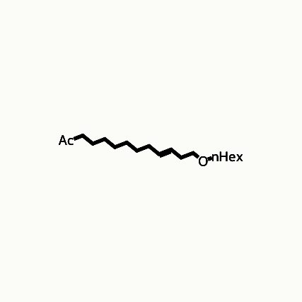 CCCCCCOCCC=CCCCCCCCC(C)=O